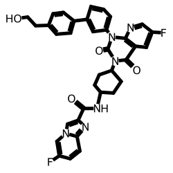 O=C(NC1CCC(n2c(=O)c3cc(F)cnc3n(-c3cccc(-c4ccc(CCO)cc4)c3)c2=O)CC1)c1cn2cc(F)ccc2n1